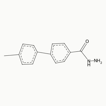 Cc1ccc(-c2ccc(C(=O)NN)cc2)cc1